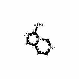 CC(C)(C)c1ncc2ccncn12